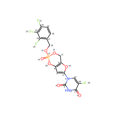 O=c1[nH]c(=O)n(-c2cc3c(o2)COP(=O)(OCc2ccc(F)c(F)c2F)O3)cc1F